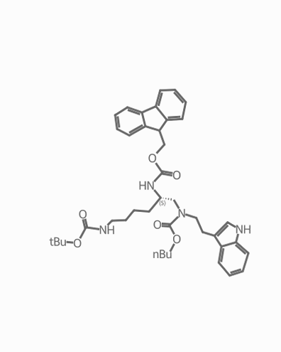 CCCCOC(=O)N(CCc1c[nH]c2ccccc12)C[C@H](CCCCNC(=O)OC(C)(C)C)NC(=O)OCC1c2ccccc2-c2ccccc21